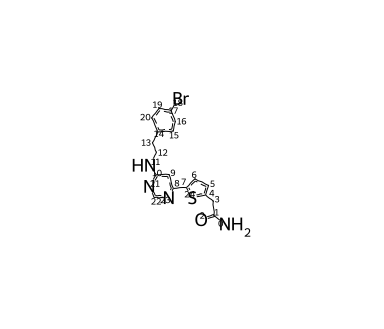 NC(=O)Cc1ccc(-c2cc(NCCc3ccc(Br)cc3)ncn2)s1